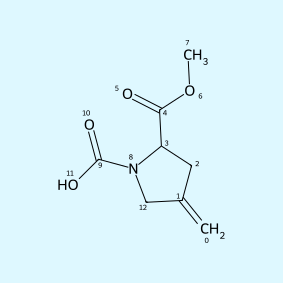 C=C1CC(C(=O)OC)N(C(=O)O)C1